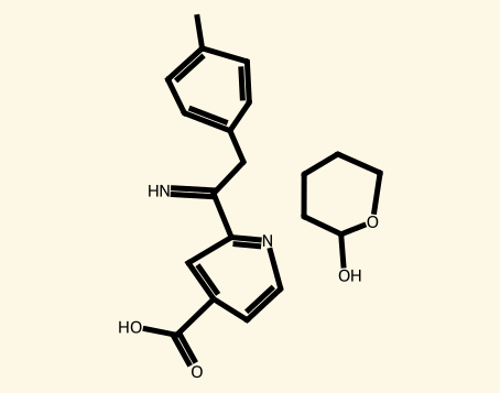 Cc1ccc(CC(=N)c2cc(C(=O)O)ccn2)cc1.OC1CCCCO1